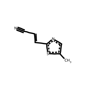 Cc1cnc(/C=C/C#N)s1